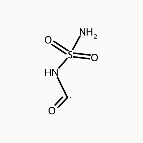 NS(=O)(=O)N[C]=O